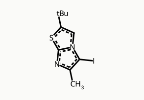 Cc1nc2sc(C(C)(C)C)cn2c1I